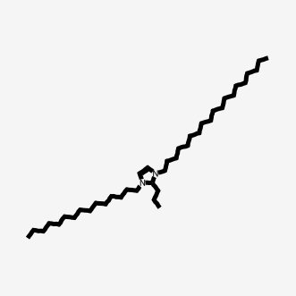 CCCCCCCCCCCCCCCCCCCN1C=CN(CCCCCCCCCCCCCCC)C1CCC